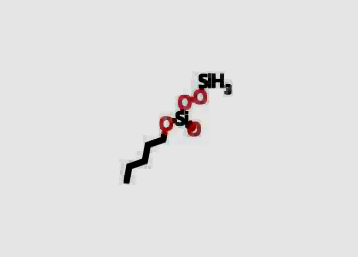 CCCCCO[Si](=O)OO[SiH3]